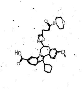 COc1ccc2c(c1)C=C(c1ncc(CCC(=O)N3CCOCC3)o1)Cn1c-2c(C2CCCCC2)c2ccc(C(=O)O)cc21